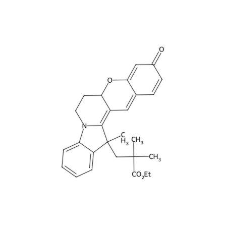 CCOC(=O)C(C)(C)CC1(C)C2=C3C=C4C=CC(=O)C=C4OC3CCN2c2ccccc21